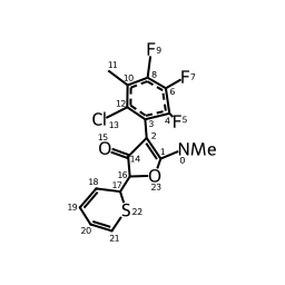 CNC1=C(c2c(F)c(F)c(F)c(C)c2Cl)C(=O)C(C2C=CC=CS2)O1